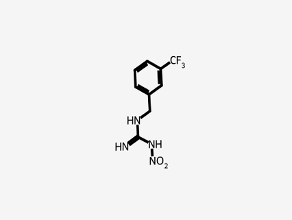 N=C(NCc1cccc(C(F)(F)F)c1)N[N+](=O)[O-]